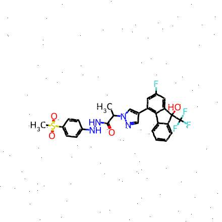 CC(C(=O)NNc1ccc(S(C)(=O)=O)cc1)n1cc(-c2cc(F)cc3c2-c2ccccc2C3(O)C(F)(F)F)cn1